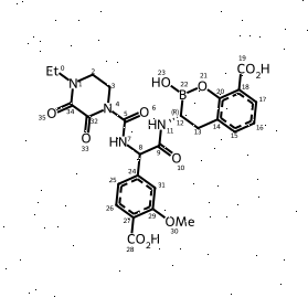 CCN1CCN(C(=O)NC(C(=O)N[C@H]2Cc3cccc(C(=O)O)c3OB2O)c2ccc(C(=O)O)c(OC)c2)C(=O)C1=O